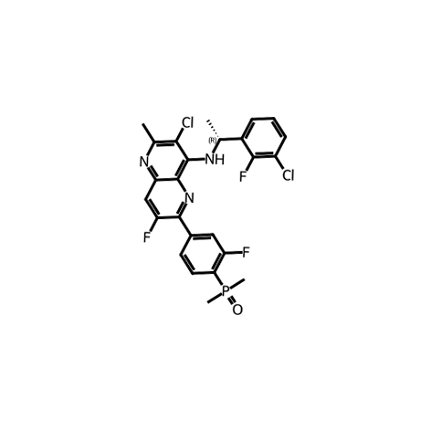 Cc1nc2cc(F)c(-c3ccc(P(C)(C)=O)c(F)c3)nc2c(N[C@H](C)c2cccc(Cl)c2F)c1Cl